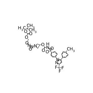 Cc1ccc(-c2cc(C(F)(F)F)nn2-c2ccc(S(=O)(=O)NC(=O)OC3CN(n4on4OCOC(=O)OC(C)(C)C)C3)cc2)cc1